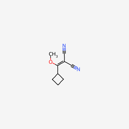 COC(=C(C#N)C#N)C1CCC1